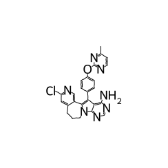 Cc1ccnc(Oc2ccc(-c3c4n(c5ncnc(N)c35)CCCc3cc(Cl)ncc3-4)cc2)n1